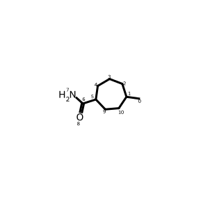 CC1CCCC(C(N)=O)CC1